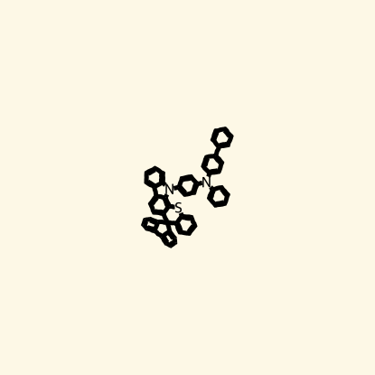 c1ccc(-c2ccc(N(c3ccccc3)c3ccc(-n4c5ccccc5c5ccc6c(c54)Sc4ccccc4C64c5ccccc5-c5ccccc54)cc3)cc2)cc1